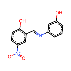 O=[N+]([O-])c1ccc(O)c(C=Nc2cccc(O)c2)c1